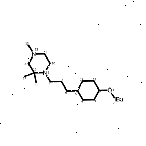 CCC(C)OC1CCC(CCCN2CCN(C)CC2(C)C)CC1